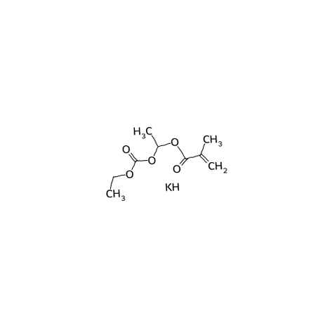 C=C(C)C(=O)OC(C)OC(=O)OCC.[KH]